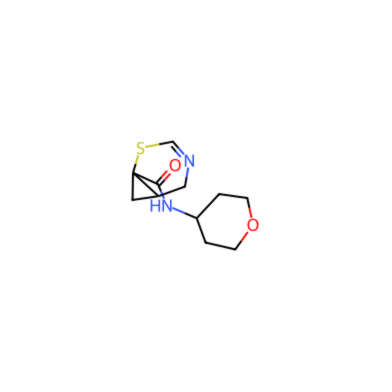 O=C(NC1CCOCC1)C12CC1CN=CS2